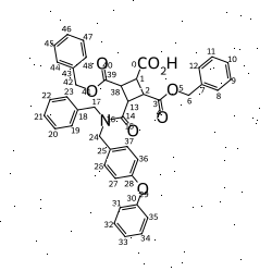 O=C(O)C1C(C(=O)OCc2ccccc2)C(C(=O)N(Cc2ccccc2)Cc2ccc(Oc3ccccc3)cc2)C1C(=O)OCc1ccccc1